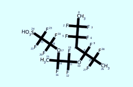 CC(F)(F)C(F)(F)CC(F)(OC(F)(F)C(C)(F)OC(F)(F)C(F)(F)S(=O)(=O)O)C(C)(F)F